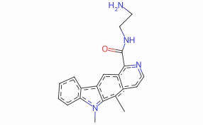 Cc1c2ccnc(C(=O)NCCN)c2cc2c3ccccc3n(C)c12